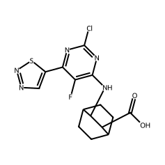 O=C(O)C1C2CCC(CC2)C1Nc1nc(Cl)nc(-c2cnns2)c1F